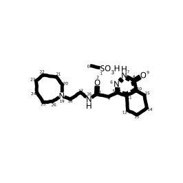 CS(=O)(=O)O.O=C(Cc1n[nH]c(=O)c2c1CCCC2)NCCN1CCCCCCC1